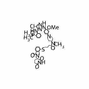 COc1cc(N2CCC(N(C)C(=O)CCCSc3cccc4c3CN(C3CCC(=O)NC3=O)C4=O)CC2)ccc1Nc1ncc(Cl)c(Nc2ccccc2P(C)C)n1